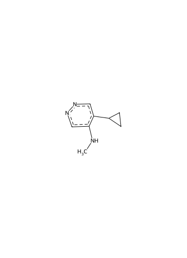 CNc1cnncc1C1CC1